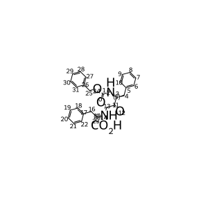 O=C(N[C@@H](Cc1ccccc1)C(=O)CN[C@@H](Cc1ccccc1)C(=O)O)OCc1ccccc1